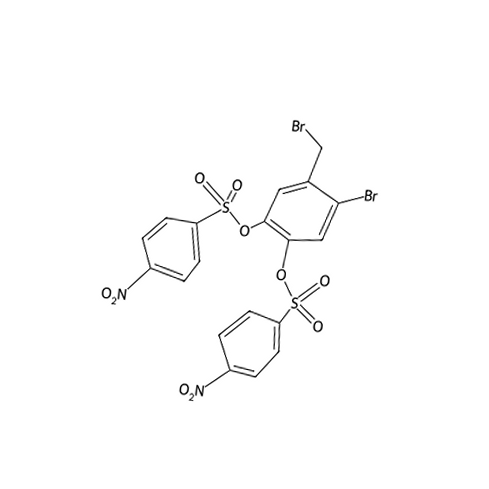 O=[N+]([O-])c1ccc(S(=O)(=O)Oc2cc(Br)c(CBr)cc2OS(=O)(=O)c2ccc([N+](=O)[O-])cc2)cc1